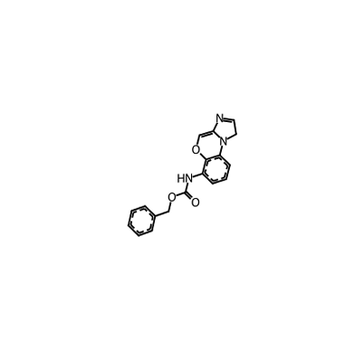 O=C(Nc1cccc2c1OC=C1N=CCN12)OCc1ccccc1